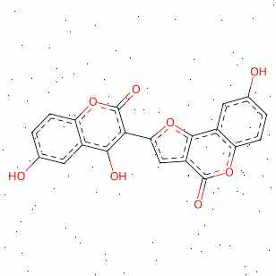 O=c1oc2ccc(O)cc2c(O)c1-c1cc2c(=O)oc3ccc(O)cc3c2o1